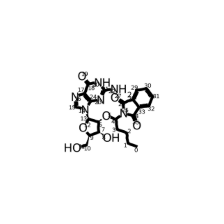 CCCCC(O[C@@H]1[C@H](O)[C@@H](CO)O[C@H]1n1cnc2c(=O)[nH]c(N)nc21)N1C(=O)c2ccccc2C1=O